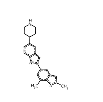 Cc1cc(-n2cc3cc(C4CCNCC4)ccc3n2)cc2cn(C)nc12